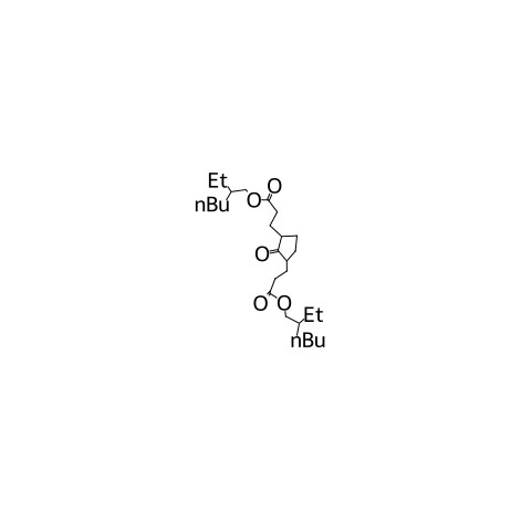 CCCCC(CC)COC(=O)CCC1CCC(CCC(=O)OCC(CC)CCCC)C1=O